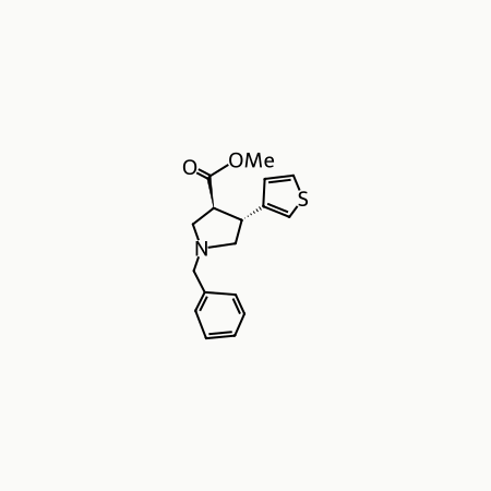 COC(=O)[C@@H]1CN(Cc2ccccc2)C[C@H]1c1ccsc1